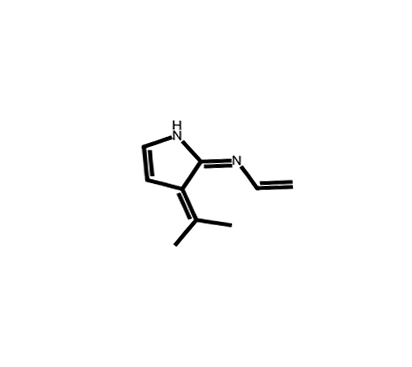 C=C/N=C1/NC=CC1=C(C)C